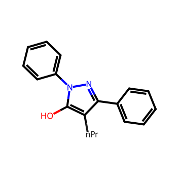 CCCc1c(-c2ccccc2)nn(-c2ccccc2)c1O